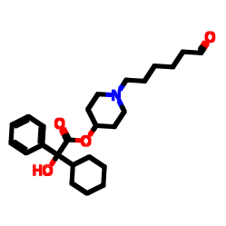 O=CCCCCCN1CCC(OC(=O)C(O)(c2ccccc2)C2CCCCC2)CC1